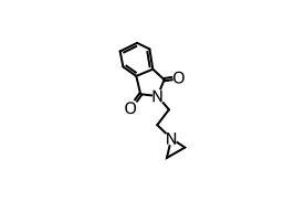 O=C1c2ccccc2C(=O)N1CCN1CC1